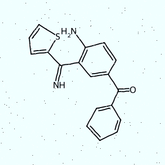 N=C(c1cccs1)c1cc(C(=O)c2ccccc2)ccc1N